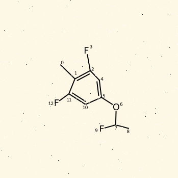 Cc1c(F)cc(OC(C)F)cc1F